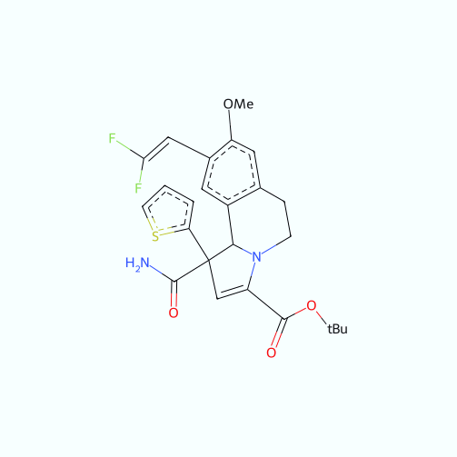 COc1cc2c(cc1C=C(F)F)C1N(CC2)C(C(=O)OC(C)(C)C)=CC1(C(N)=O)c1cccs1